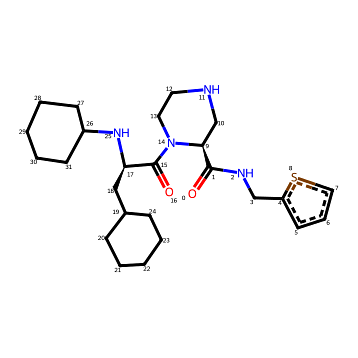 O=C(NCc1cccs1)[C@@H]1CNCCN1C(=O)[C@@H](CC1CCCCC1)NC1CCCCC1